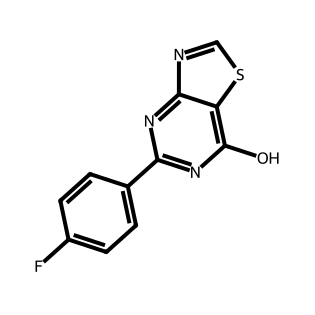 Oc1nc(-c2ccc(F)cc2)nc2ncsc12